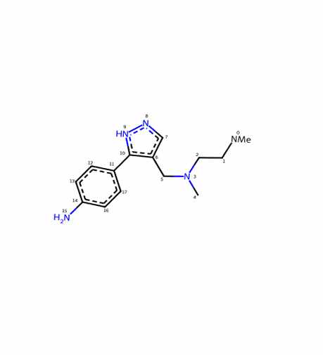 CNCCN(C)Cc1cn[nH]c1-c1ccc(N)cc1